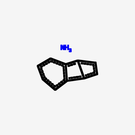 N.c1ccc2c3ccc-3c2c1